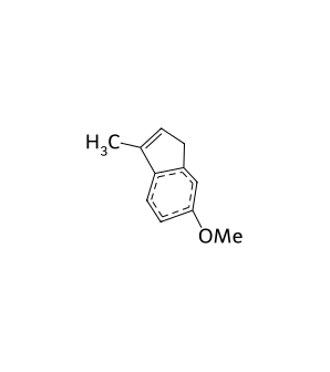 COc1ccc2c(c1)CC=C2C